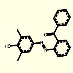 Cc1cc(/N=N/c2ccccc2C(=O)c2ccccc2)cc(C)c1O